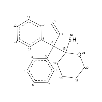 C=CC(c1ccccc1)(c1ccccc1)C1([SiH3])CCCCO1